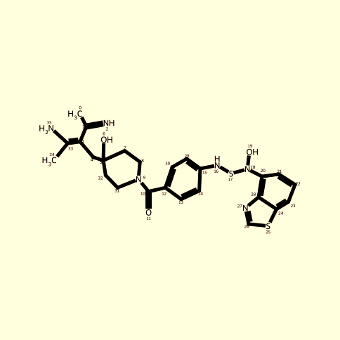 CC(=N)/C(CC1(O)CCN(C(=O)c2ccc(NSN(O)c3cccc4scnc34)cc2)CC1)=C(/C)N